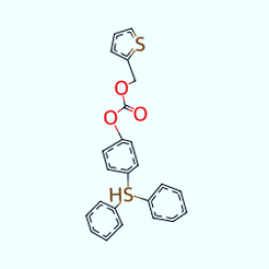 O=C(OCc1cccs1)Oc1ccc([SH](c2ccccc2)c2ccccc2)cc1